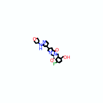 COC[C@H]1Cn2cc(-c3ccnc(NC4CCOCC4)c3)cc2C(=O)N1Cc1cc(F)ccc1CO